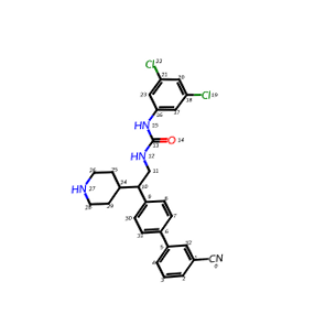 N#Cc1cccc(-c2ccc(C(CNC(=O)Nc3cc(Cl)cc(Cl)c3)C3CCNCC3)cc2)c1